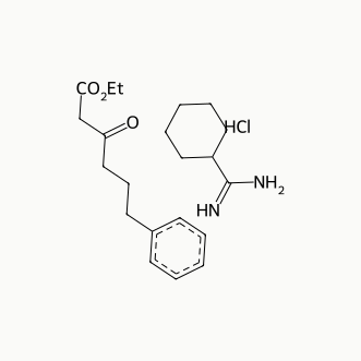 CCOC(=O)CC(=O)CCCc1ccccc1.Cl.N=C(N)C1CCCCC1